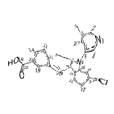 Cc1cncc(-n2c(C)c(Sc3cccc(C(=O)O)c3)c3ccc(Cl)cc32)c1